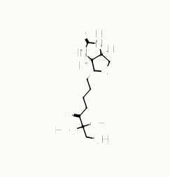 CCC(C)(C)C(=O)CCCC[C@@H]1SC[C@@H]2NC(=O)N[C@@H]21